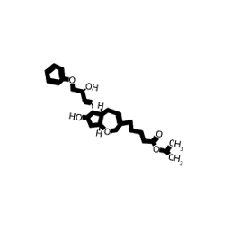 CC(C)OC(=O)CCCCC1=CC[C@H]2[C@H](CC(O)[C@@H]2/C=C/[C@@H](O)COc2ccccc2)OC1